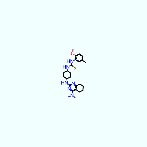 COc1ccc(C)cc1NC(=S)N[C@H]1CC[C@@H](Nc2nc3c(c(N(C)C)n2)CCCC3)CC1